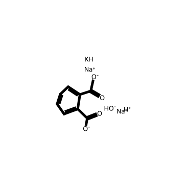 O=C([O-])c1ccccc1C(=O)[O-].[H+].[KH].[Na+].[Na+].[OH-]